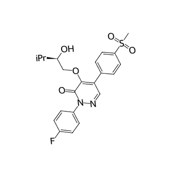 CC(C)[C@@H](O)COc1c(-c2ccc(S(C)(=O)=O)cc2)cnn(-c2ccc(F)cc2)c1=O